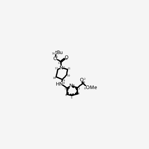 COC(=O)c1cccc(NC2CCN(C(=O)OC(C)(C)C)CC2)n1